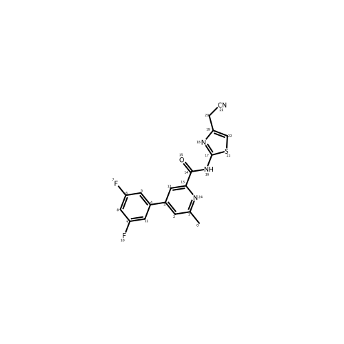 Cc1cc(-c2cc(F)cc(F)c2)cc(C(=O)Nc2nc(CC#N)cs2)n1